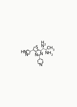 CC(N)C(N)c1nc(-c2ccncc2)nc2c(-c3cn[nH]c3)csc12